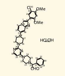 COc1cc(OC)c(-c2cn3ccc(N4CCN(c5nccc(N6CCN(C(C=O)c7ccccc7)CC6)n5)CC4)cc3n2)cc1Cl.Cl.Cl